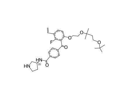 C=Cc1ccc(OCCOC(C)(C)CCOC(C)(C)C)c(C(=O)c2ccc(C(=O)N[C@H]3CCNC3)cc2)c1F